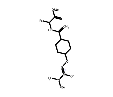 C=C(NC(C(=O)OC)C(C)C)C1CCC(O/N=[N+](\[O-])N(C)C(C)(C)C)CC1